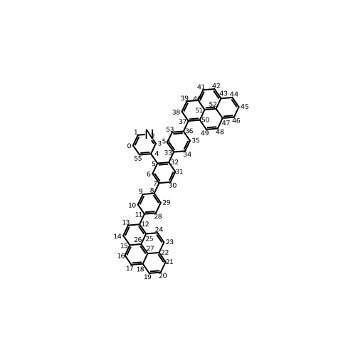 c1cncc(-c2cc(-c3ccc(-c4ccc5ccc6cccc7ccc4c5c67)cc3)ccc2-c2ccc(-c3ccc4ccc5cccc6ccc3c4c56)cc2)c1